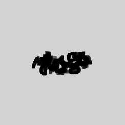 O=C(CC1CCN(Cc2ccc[nH]c2=O)CC1)c1cccnc1Cl